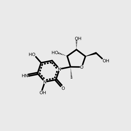 C[C@@]1(n2cc(O)c(=N)n(O)c2=O)O[C@H](CO)[C@@H](O)[C@H]1O